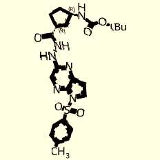 Cc1ccc(S(=O)(=O)n2ccc3nc(NNC(=O)[C@@H]4CC[C@@H](NC(=O)OC(C)(C)C)C4)cnc32)cc1